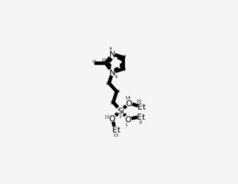 CCO[Si](CCCn1ccnc1C)(OCC)OCC